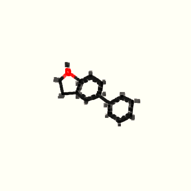 [c]1ccc(-c2ccc3c(c2)CCO3)cc1